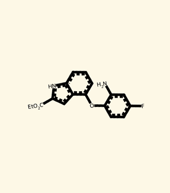 CCOC(=O)c1cc2c(Oc3ccc(F)cc3N)cccc2[nH]1